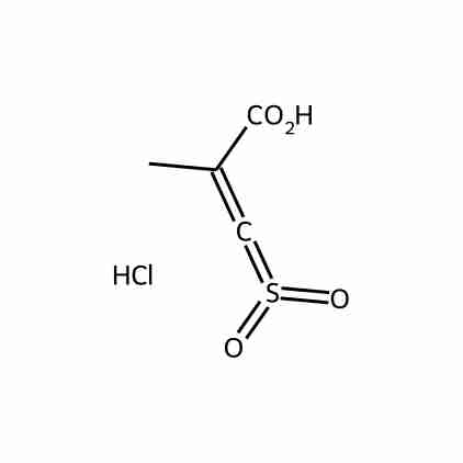 CC(=C=S(=O)=O)C(=O)O.Cl